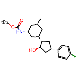 C[C@H]1CC([C@@H]2C[C@H](c3ccc(F)cc3)C[C@H]2O)C[C@H](NC(=O)OC(C)(C)C)C1